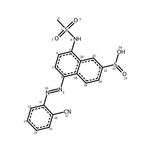 CS(=O)(=O)Nc1ccc(N=Nc2ccccc2C#N)c2ccc(S(=O)O)cc12